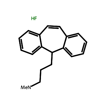 CNCCCC1c2ccccc2C=Cc2ccccc21.F